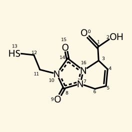 O=C(O)C1C=CCn2c(=O)n(CCS)c(=O)n21